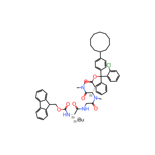 CC[C@H](C)[C@H](NC(=O)OCC1c2ccccc2-c2ccccc21)C(=O)NCC(=O)N(C)[C@@H](CC(=O)OC(c1ccccc1)(c1ccc(C2CCCCCCCCC2)cc1)c1ccccc1Cl)C(=O)N(C)C